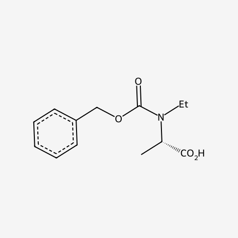 CCN(C(=O)OCc1ccccc1)[C@@H](C)C(=O)O